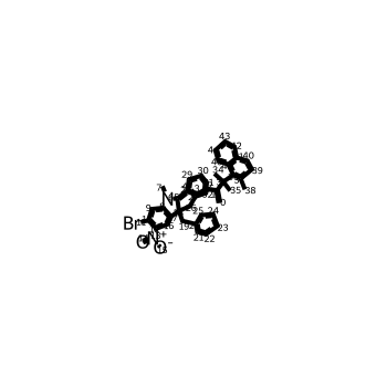 C=C(/C=C/C=C1/N(C)c2cc(Br)c([N+](=O)[O-])cc2C1(Cc1ccccc1)Cc1ccccc1)C(C)(C)c1c(C)ccc2ccccc12